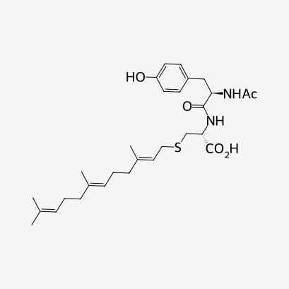 CC(=O)N[C@H](Cc1ccc(O)cc1)C(=O)N[C@@H](CSC/C=C(\C)CC/C=C(\C)CCC=C(C)C)C(=O)O